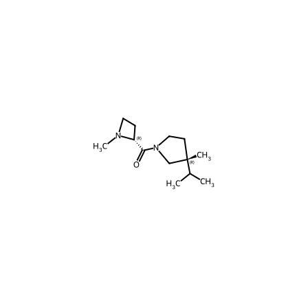 CC(C)[C@@]1(C)CCN(C(=O)[C@H]2CCN2C)C1